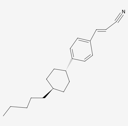 CCCCC[C@H]1CC[C@H](c2ccc(C=CC#N)cc2)CC1